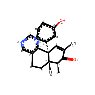 C[C@@H]1C(=O)C(C#N)=C[C@]2(c3cccc(O)c3)c3ncncc3CC[C@@H]12